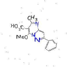 COc1c(C(=O)O)c(C)nc2cc(-c3ccccc3)nn12